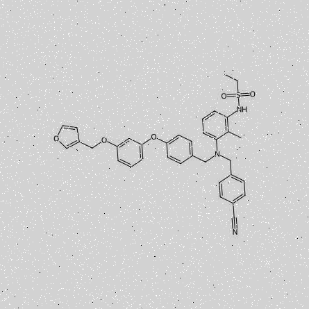 CCS(=O)(=O)Nc1cccc(N(Cc2ccc(C#N)cc2)Cc2ccc(Oc3cccc(OCc4ccoc4)c3)cc2)c1C